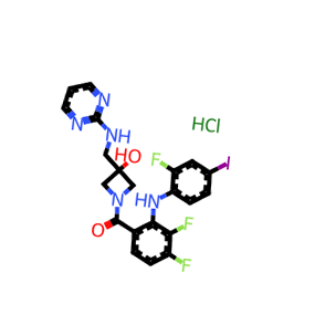 Cl.O=C(c1ccc(F)c(F)c1Nc1ccc(I)cc1F)N1CC(O)(CNc2ncccn2)C1